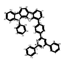 c1ccc(-c2cc(-c3ccc(-c4cccc5c4oc4c5ccc5c6ccccc6n(-c6ccccc6)c54)cc3)nc(-c3ccccc3)n2)cc1